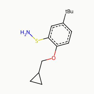 CC(C)(C)c1ccc(OCC2CC2)c(SN)c1